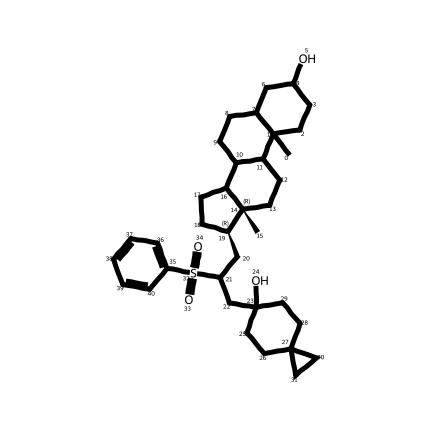 CC12CCC(O)CC1CCC1C2CC[C@@]2(C)C1CC[C@@H]2CC(CC1(O)CCC2(CC1)CC2)S(=O)(=O)c1ccccc1